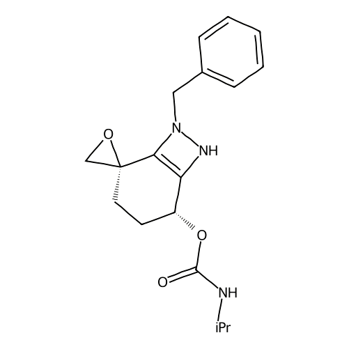 CC(C)NC(=O)O[C@@H]1CC[C@@]2(CO2)c2c1[nH]n2Cc1ccccc1